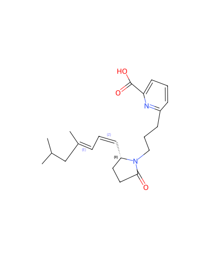 C/C(=C\C=C/[C@H]1CCC(=O)N1CCCc1cccc(C(=O)O)n1)CC(C)C